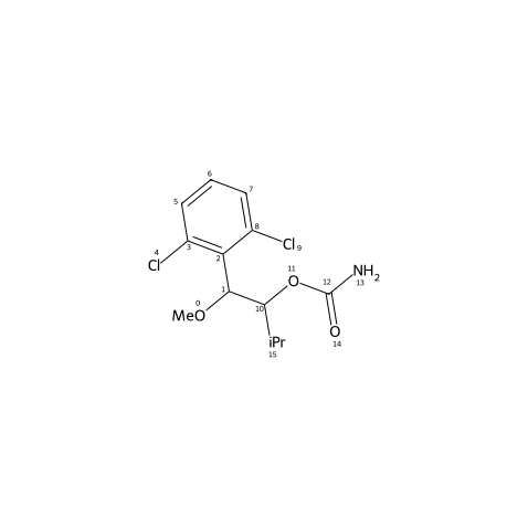 COC(c1c(Cl)cccc1Cl)C(OC(N)=O)C(C)C